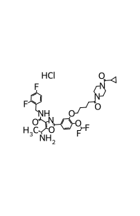 C[C@H](N)c1oc(-c2ccc(OC(F)F)c(OCCCCC(=O)N3CCN(C(=O)C4CC4)CC3)c2)nc1C(=O)NCc1ccc(F)cc1F.Cl